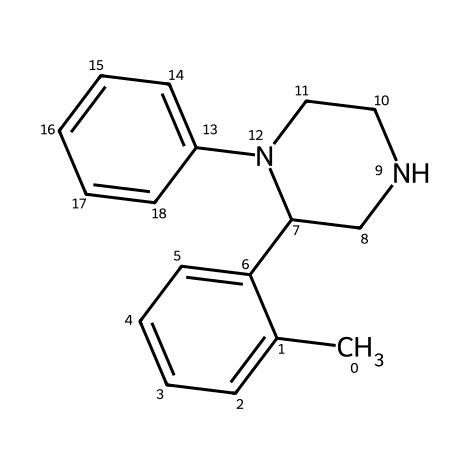 Cc1ccccc1C1CNCCN1c1ccccc1